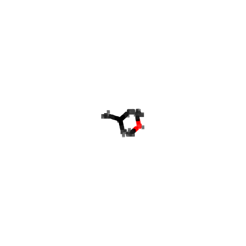 CC(C)(C)OC(C)(C)C.CCCCC(CC)C(=O)O